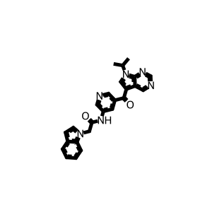 CC(C)n1cc(C(=O)c2cncc(NC(=O)Cn3ccc4ccccc43)c2)c2cncnc21